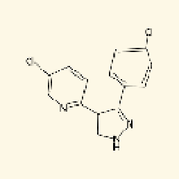 Clc1ccc(C2=NNCC2c2ccc(Cl)cn2)cc1